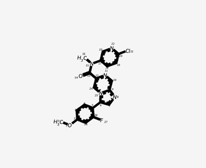 COc1ccc(-c2cnc3cnc(C(=O)N(C)c4ccc(Cl)nc4)cn23)c(F)c1